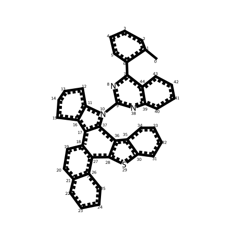 Cc1ccccc1-c1nc(-n2c3ccccc3c3c4ccc5ccccc5c4c4sc5ccccc5c4c32)nc2ccccc12